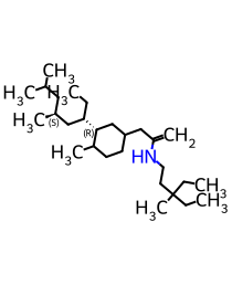 C=C(CC1CCC(C)[C@H](C(CC)C[C@@H](C)CC(C)C)C1)NCCC(C)(CC)CC